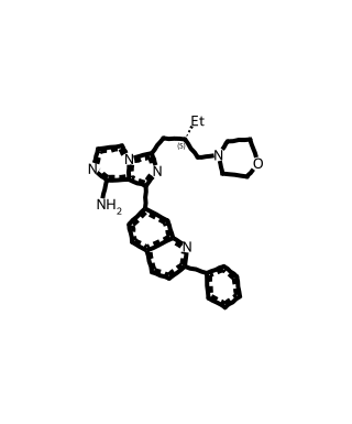 CC[C@@H](Cc1nc(-c2ccc3ccc(-c4ccccc4)nc3c2)c2c(N)nccn12)CN1CCOCC1